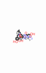 COC1CC23CC(C[C@@]12CNC(=O)[C@@H](N)CC(=O)O)[C@H]1Cc2ccc(O)c(O)c2[C@H]3CCN1CC1CC1